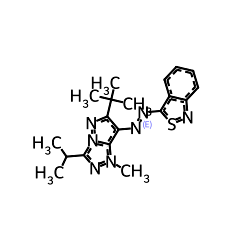 CC(C)c1nn(C)c2c(/N=N/c3snc4ccccc34)c(C(C)(C)C)nn12